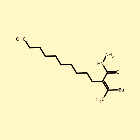 CCC(C)/C(C)=C(/CCCCCCCCCC=O)C(=O)NN